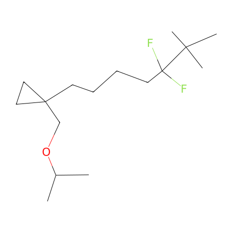 CC(C)OCC1(CCCCC(F)(F)C(C)(C)C)CC1